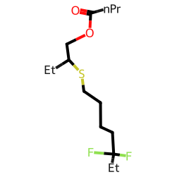 CCCC(=O)OCC(CC)SCCCCC(F)(F)CC